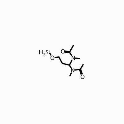 CC(=O)N(C)C(CCO[SiH3])N(C)C(C)=O